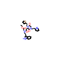 CCOC(=O)CN(CCc1c[nH]c2ccccc12)C(=O)CC1C(=O)N(CCc2ccccn2)CC(=O)N1CCc1cccs1